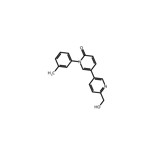 Cc1cccc(-n2cc(-c3ccc(CO)nc3)ccc2=O)c1